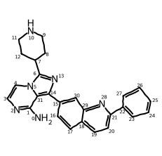 Nc1nccn2c(C3CCNCC3)nc(-c3ccc4ccc(-c5ccccc5)nc4c3)c12